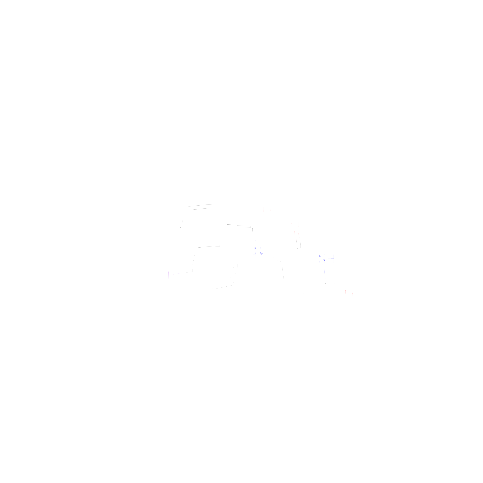 O=C1CCC(N2C(=O)c3cccc4c(I)ccc2c34)C(=O)N1